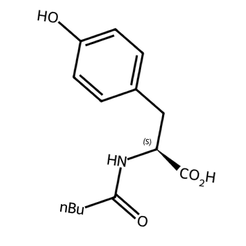 CCCCC(=O)N[C@@H](Cc1ccc(O)cc1)C(=O)O